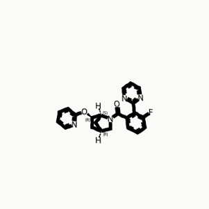 O=C(c1cccc(F)c1-c1ncccn1)N1C[C@H]2C[C@@H](Oc3ccccn3)[C@@H]1C2